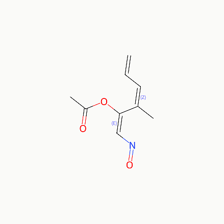 C=C/C=C(C)\C(=C/N=O)OC(C)=O